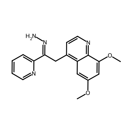 COc1cc(OC)c2nccc(CC(=NN)c3ccccn3)c2c1